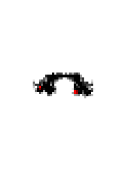 O=C(NC(c1ccccc1)c1ccccc1)OC1CCN(CCCCCCCN2CCC(OC(=O)NC(c3ccccc3)c3ccccc3)CC2)CC1